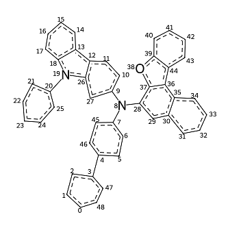 c1ccc(-c2ccc(N(c3ccc4c5ccccc5n(-c5ccccc5)c4c3)c3cc4ccccc4c4c3oc3ccccc34)cc2)cc1